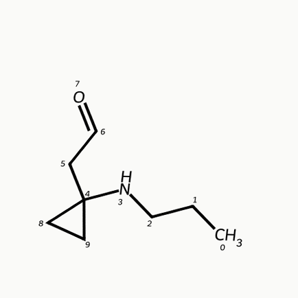 CCCNC1(CC=O)CC1